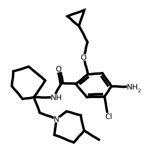 CC1CCN(CC2(NC(=O)c3cc(Cl)c(N)cc3OCC3CC3)CCCCC2)CC1